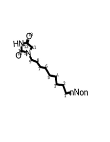 CCCCCCCCCCCCCCCCCCN1CC(=O)NC1=O